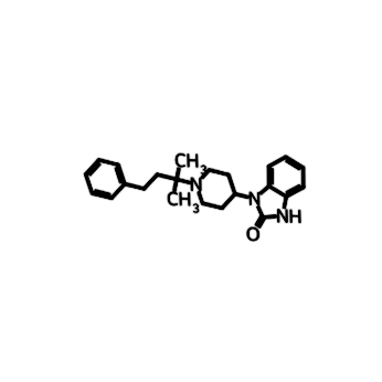 CC(C)(CCc1ccccc1)N1CCC(n2c(=O)[nH]c3ccccc32)CC1